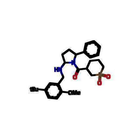 COc1ccc(C(C)(C)C)cc1CNC1CCC(c2ccccc2)N1C(=O)C1CCCS(=O)(=O)C1